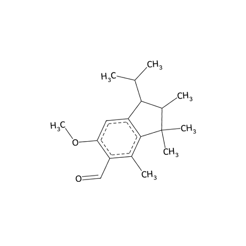 COc1cc2c(c(C)c1C=O)C(C)(C)C(C)C2C(C)C